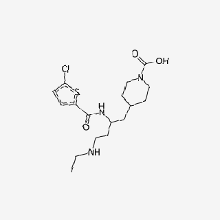 CCNCCC(CC1CCN(C(=O)O)CC1)NC(=O)c1ccc(Cl)s1